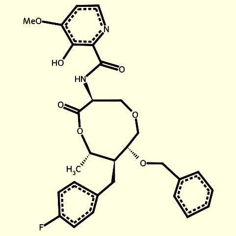 COc1ccnc(C(=O)N[C@H]2COC[C@H](OCc3ccccc3)[C@@H](Cc3ccc(F)cc3)[C@H](C)OC2=O)c1O